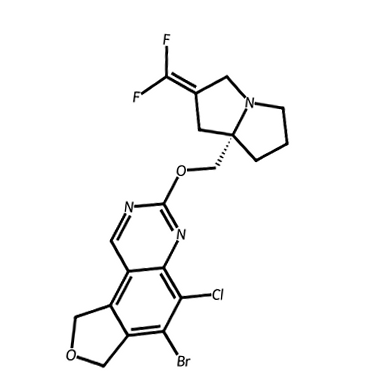 FC(F)=C1CN2CCC[C@@]2(COc2ncc3c4c(c(Br)c(Cl)c3n2)COC4)C1